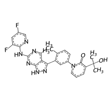 Cc1ccc(-n2cccc(C(C)(C)O)c2=O)cc1-c1n[nH]c2nc(Nc3ncc(F)cc3F)nc(C)c12